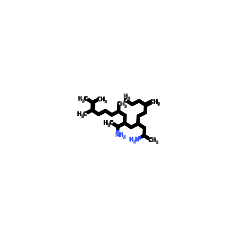 C=C(CCC)CCC(CC(C)N)CC(CC(C)CCCC(C)=C(C)C)C(C)N